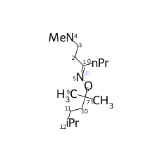 CCC/C(CCNC)=N\OC(C)(C)CCC(C)C